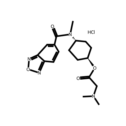 CN(C)CC(=O)O[C@H]1CC[C@H](N(C)C(=O)c2ccc3nonc3c2)CC1.Cl